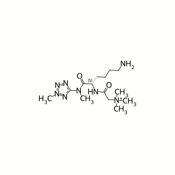 CN(C(=O)[C@H](CCCCN)NC(=O)C[N+](C)(C)C)c1nnn(C)n1